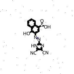 N#Cc1nc(/N=N/c2cc(S(=O)O)c3ccccc3c2O)[nH]c1C#N